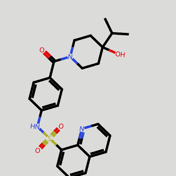 CC(C)C1(O)CCN(C(=O)c2ccc(NS(=O)(=O)c3cccc4cccnc34)cc2)CC1